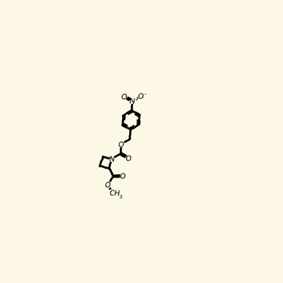 COC(=O)C1CCN1C(=O)OCc1ccc([N+](=O)[O-])cc1